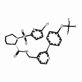 O=C(NCc1ccnc(-c2ccc(OC(F)(F)F)cc2)c1)[C@@H]1CCCN1S(=O)(=O)c1ccc(Cl)s1